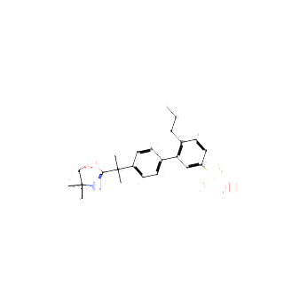 CCCc1ccc(S(=O)(=O)O)cc1-c1ccc(C(C)(C)C2=NC(C)(C)CO2)cc1